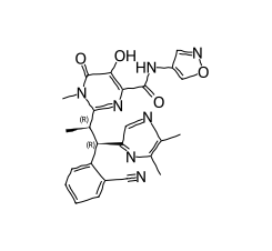 Cc1ncc([C@@H](c2ccccc2C#N)[C@@H](C)c2nc(C(=O)Nc3cnoc3)c(O)c(=O)n2C)nc1C